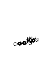 Nc1scc(CN2CCC(c3ccc(Cl)cc3)CC2)c1C(=O)c1ccc(Cl)cc1